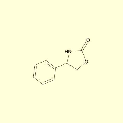 O=C1NC(c2ccccc2)CO1